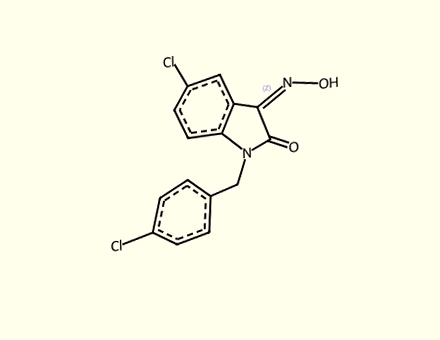 O=C1/C(=N\O)c2cc(Cl)ccc2N1Cc1ccc(Cl)cc1